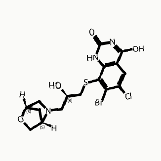 O=c1nc(O)c2cc(Cl)c(Br)c(SC[C@H](O)CN3C[C@@H]4C[C@H]3CO4)c2[nH]1